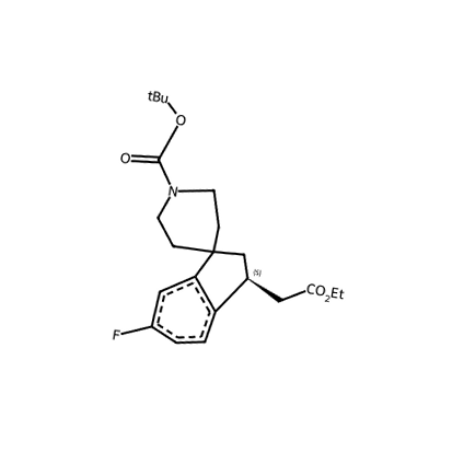 CCOC(=O)C[C@@H]1CC2(CCN(C(=O)OC(C)(C)C)CC2)c2cc(F)ccc21